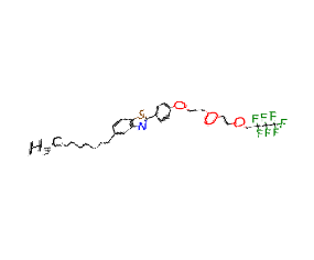 CCCCCCCCc1ccc2sc(-c3ccc(OCCOCCOCC(F)(F)C(F)(F)C(F)(F)F)cc3)nc2c1